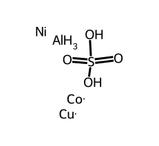 O=S(=O)(O)O.[AlH3].[Co].[Cu].[Ni]